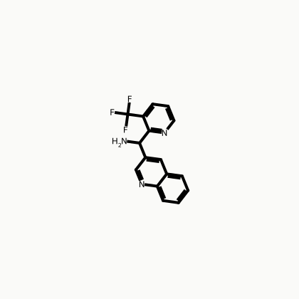 NC(c1cnc2ccccc2c1)c1ncccc1C(F)(F)F